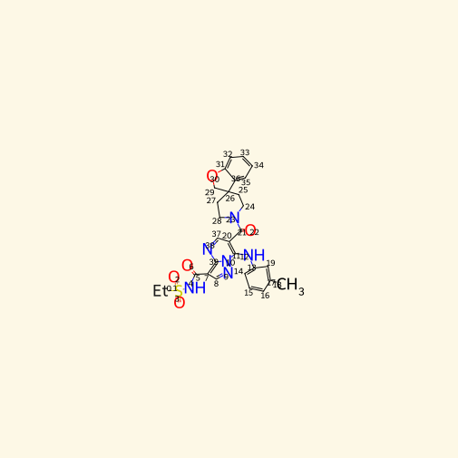 CCS(=O)(=O)NC(=O)c1cnn2c(Nc3cccc(C)c3)c(C(=O)N3CCC4(CC3)COc3ccccc34)cnc12